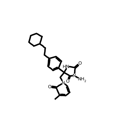 Cc1cccn(CC2(c3ccc(CCC4CCCCC4)cc3)NC(=O)N(N)C2=O)c1=O